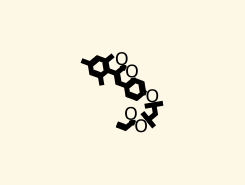 C=CC(=O)OC(C)(C)CC(C)(C)Oc1ccc2cc(-c3c(C)cc(C)cc3C)c(=O)oc2c1